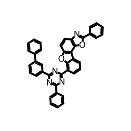 c1ccc(-c2cccc(-c3nc(-c4ccccc4)nc(-c4cccc5c4oc4ccc6nc(-c7ccccc7)oc6c45)n3)c2)cc1